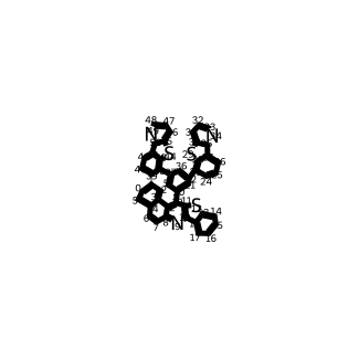 c1ccc2c(c1)ccc1nc3c(sc4ccccc43)c(-c3cc(-c4cccc5c4sc4cccnc45)cc(-c4cccc5c4sc4cccnc45)c3)c12